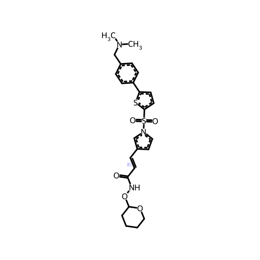 CN(C)Cc1ccc(-c2ccc(S(=O)(=O)n3ccc(/C=C/C(=O)NOC4CCCCO4)c3)s2)cc1